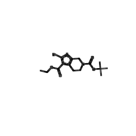 CCOC(=O)c1c(Br)sc2c1CCN(C(=O)OC(C)(C)C)C2